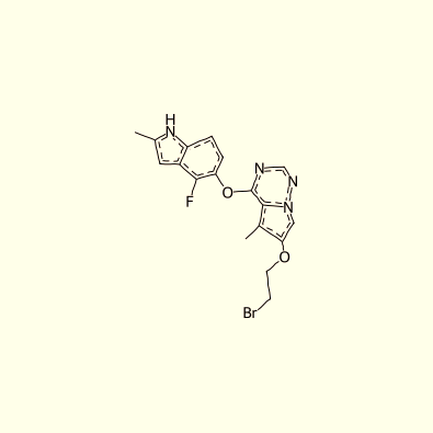 Cc1cc2c(F)c(Oc3ncnn4cc(OCCBr)c(C)c34)ccc2[nH]1